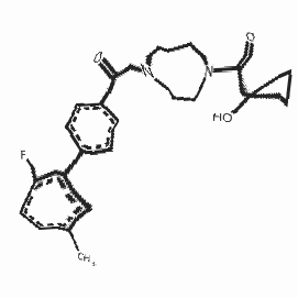 Cc1ccc(F)c(-c2ccc(C(=O)N3CCN(C(=O)C4(O)CC4)CC3)cc2)c1